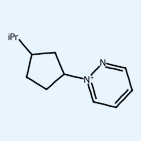 CC(C)C1CCC([n+]2ccccn2)C1